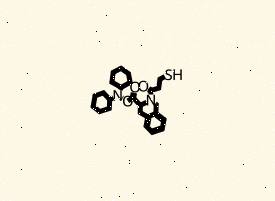 O=C(ON(C1CCCCC1)C1CCCCC1)C1Cc2ccccc2CN1C(=O)CCS